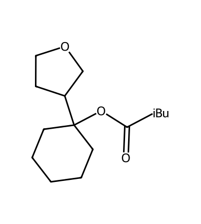 CCC(C)C(=O)OC1(C2CCOC2)CCCCC1